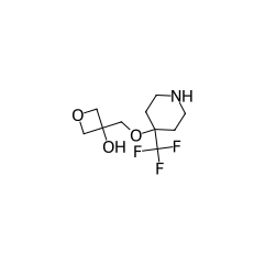 OC1(COC2(C(F)(F)F)CCNCC2)COC1